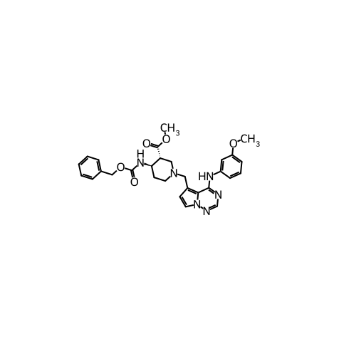 COC(=O)[C@@H]1CN(Cc2ccn3ncnc(Nc4cccc(OC)c4)c23)CC[C@H]1NC(=O)OCc1ccccc1